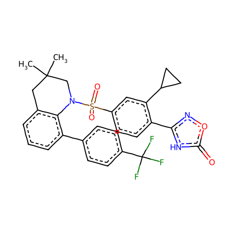 CC1(C)Cc2cccc(-c3ccc(C(F)(F)F)cc3)c2N(S(=O)(=O)c2ccc(-c3noc(=O)[nH]3)c(C3CC3)c2)C1